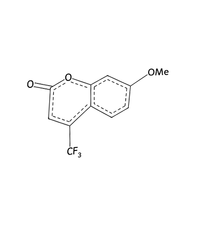 COc1ccc2c(C(F)(F)F)cc(=O)oc2c1